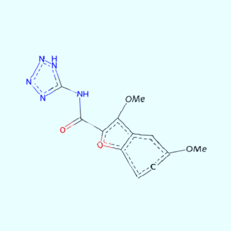 COc1ccc2oc(C(=O)Nc3nnn[nH]3)c(OC)c2c1